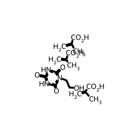 C=C(C)C(=O)O.C=C(C)C(=O)O.C=C(C)C(=O)O.O=c1[nH]c(=O)n(CCO)c(=O)[nH]1